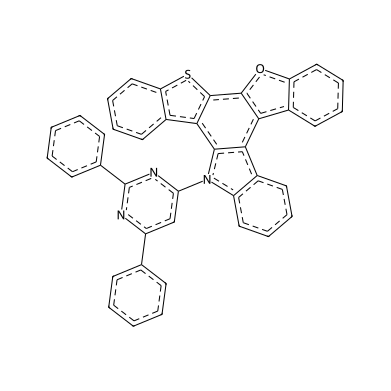 c1ccc(-c2cc(-n3c4ccccc4c4c5c6ccccc6oc5c5sc6ccccc6c5c43)nc(-c3ccccc3)n2)cc1